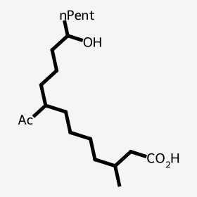 CCCCCC(O)CCCC(CCCCC(C)CC(=O)O)C(C)=O